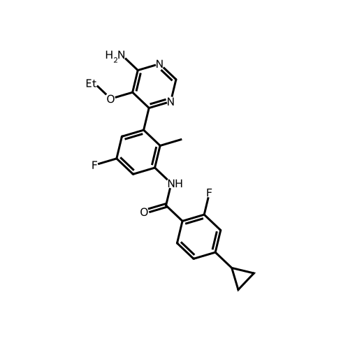 [CH2]COc1c(N)ncnc1-c1cc(F)cc(NC(=O)c2ccc(C3CC3)cc2F)c1C